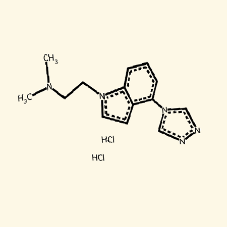 CN(C)CCn1ccc2c(-n3cnnc3)cccc21.Cl.Cl